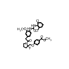 COC(=O)c1ccc(OC[C@@]2(F)CCCN2C(=O)Cc2ccc(NC(=O)Nc3c(Cl)cccc3Cl)c(OC)c2)cc1